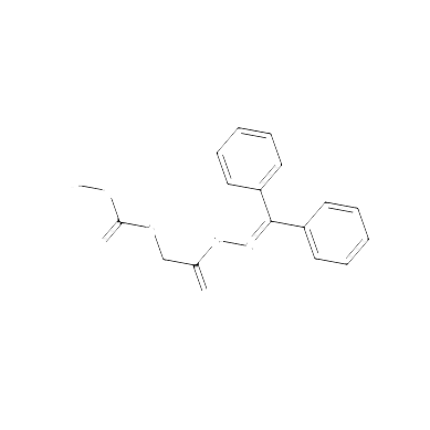 C[C@H](NC(=O)OC(C)(C)C)C(=O)NN=C(c1ccccc1)c1ccccc1